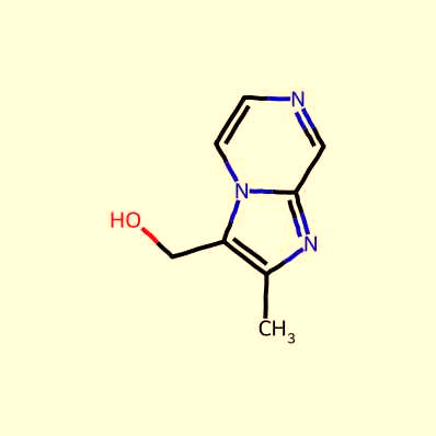 Cc1nc2cnccn2c1CO